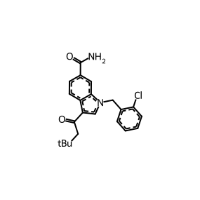 CC(C)(C)CC(=O)c1cn(Cc2ccccc2Cl)c2cc(C(N)=O)ccc12